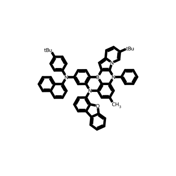 Cc1cc2c3c(c1)N(c1ccccc1)c1c(cc4ccc(C(C)(C)C)cn14)B3c1ccc(N(c3ccc(C(C)(C)C)cc3)c3cccc4ccccc34)cc1N2c1cccc2c1oc1ccccc12